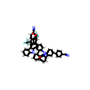 N#Cc1ccc(-c2ccc3c(c2)c2ccccc2n3-c2ccc(-c3cc(C(F)(F)F)cc(C(F)(F)F)c3)cc2-c2c(C#N)cccc2-n2c3ccccc3c3cc(-c4ccc(C#N)cc4)ccc32)cc1